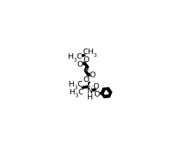 CC(C)OC(=O)/C=C/C(=O)OC[C@@H](NC(=O)Oc1ccccc1)C(C)C